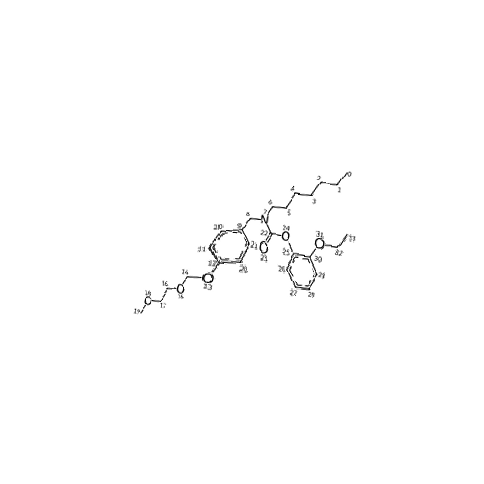 CCCCCCCN(Cc1ccc(OCOCCOC)cc1)C(=O)Oc1ccccc1OCC